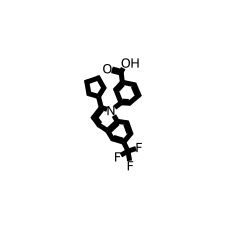 O=C(O)c1cccc(N2C(C3CCCC3)=C=Cc3cc(C(F)(F)F)ccc32)c1